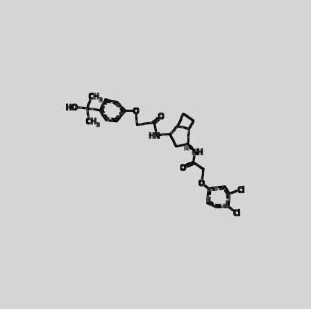 CC(C)(O)c1ccc(OCC(=O)NC2C[C@H](NC(=O)COc3ccc(Cl)c(Cl)c3)C3CCC23)cc1